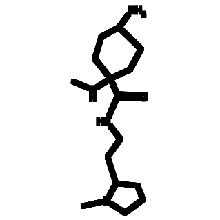 CNC1(C(=O)NCCC2CCCN2C)CCC(N)CC1